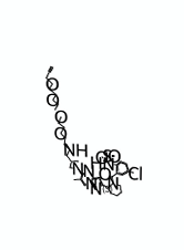 C#CCOCCOCCOCCOCCNCC1CN(c2nc3cc([C@@H]4CCCCN4C(=O)c4cc(Cl)ccc4NS(C)(=O)=O)nn3cc2C)C1